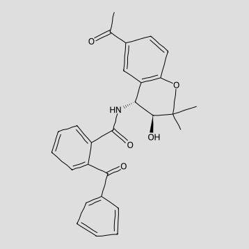 CC(=O)c1ccc2c(c1)[C@@H](NC(=O)c1ccccc1C(=O)c1ccccc1)[C@H](O)C(C)(C)O2